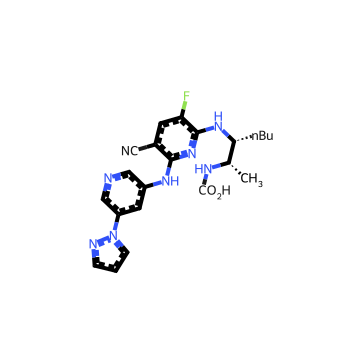 CCCC[C@@H](Nc1nc(Nc2cncc(-n3cccn3)c2)c(C#N)cc1F)[C@H](C)NC(=O)O